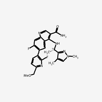 COCc1ccc(-c2cc3c(N[C@@H](C)c4nn(C)cc4C)c(C(N)=O)cnc3cc2F)c(F)n1